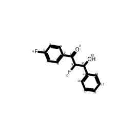 O=C(c1ccc(F)cc1)C(F)C(O)c1ccccc1